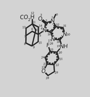 Cn1c(=O)n(C23CC4CC(CC(C(=O)O)(C4)C2)C3)c2nc(Nc3cc4c(cc3F)OCC4)ncc21